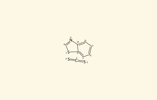 S=C=S.c1ccc2scnc2c1